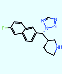 Fc1ccc2cc([C@@H]([C@@H]3CCCNC3)n3ncnn3)ccc2c1